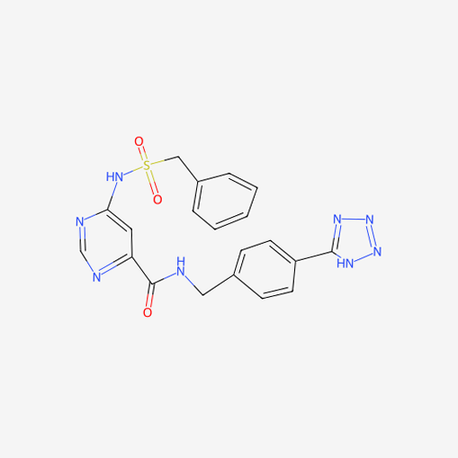 O=C(NCc1ccc(-c2nnn[nH]2)cc1)c1cc(NS(=O)(=O)Cc2ccccc2)ncn1